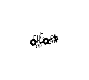 CC1(C)OB(c2cc(O)c(C(=O)Nc3c(F)cccc3Cl)cc2F)OC1(C)C